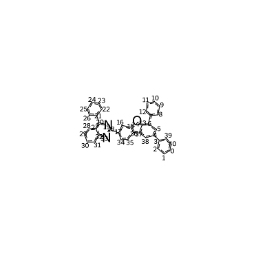 c1ccc(-c2cc(-c3ccccc3)c3oc4cc(-c5nc(-c6ccccc6)c6ccccc6n5)ccc4c3c2)cc1